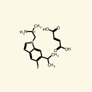 CC(C)c1cc2c(ccn2C[C@H](C)N)cc1F.O=C(O)C=CC(=O)O